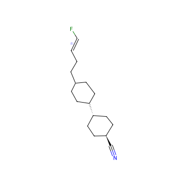 N#C[C@H]1CC[C@H](C2CCC(CC/C=C/F)CC2)CC1